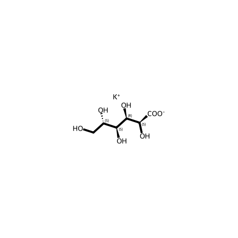 O=C([O-])[C@@H](O)[C@H](O)[C@@H](O)[C@@H](O)CO.[K+]